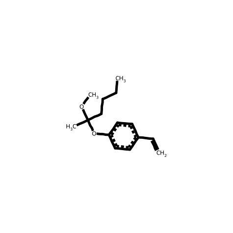 C=Cc1ccc(OC(C)(CCCC)OC)cc1